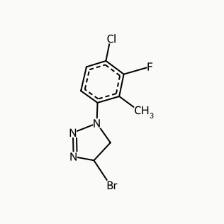 Cc1c(N2CC(Br)N=N2)ccc(Cl)c1F